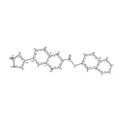 c1ccc2cc(CNc3cnc4cc(-c5cn[nH]c5)ccc4n3)ccc2c1